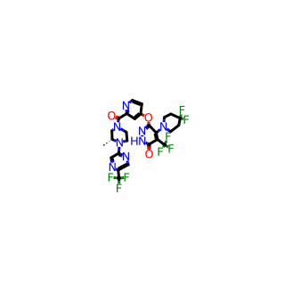 C[C@@H]1CN(C(=O)c2cc(Oc3n[nH]c(=O)c(C(F)(F)F)c3N3CCC(F)(F)CC3)ccn2)CCN1c1cnc(C(F)(F)F)cn1